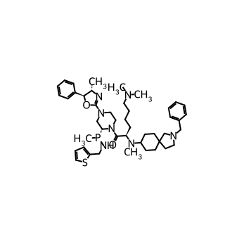 C[C@@H]1N=C(N2CCN(C(=O)[C@@H](CCCCN(C)C)N(C)C3CCC4(CC3)CCN(Cc3ccccc3)C4)[C@H](P(C)NCc3cccs3)C2)O[C@H]1c1ccccc1